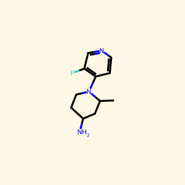 CC1CC(N)CCN1c1ccncc1F